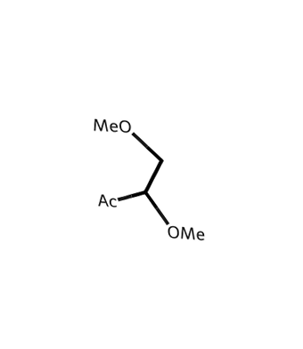 COCC(OC)C(C)=O